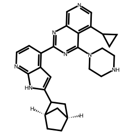 c1cc(-c2nc(N3CCNCC3)c3c(C4CC4)cncc3n2)c2cc(C3C[C@H]4CC[C@@H]3C4)[nH]c2n1